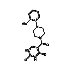 CC(C)(C)c1ccccc1N1CCN(C(=O)c2c[nH]c(=O)[nH]c2=O)CC1